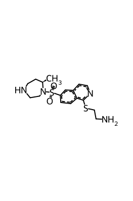 C[C@@H]1CCNCCN1S(=O)(=O)c1ccc2c(SCCN)nccc2c1